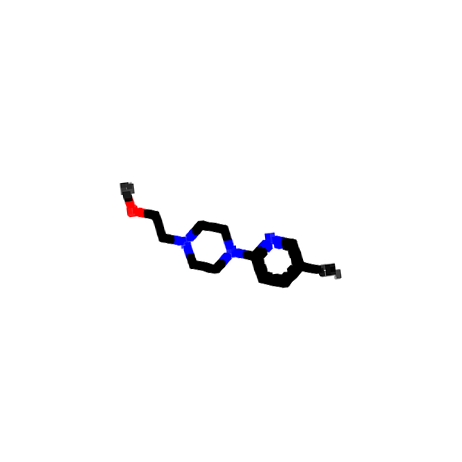 CCOCCN1CCN(c2ccc(C)cn2)CC1